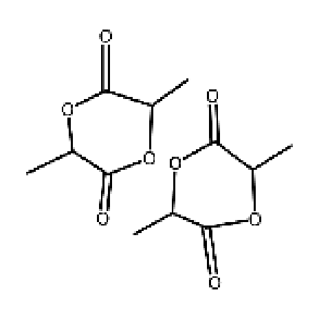 CC1OC(=O)C(C)OC1=O.CC1OC(=O)C(C)OC1=O